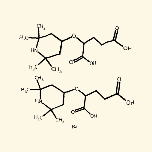 CC1(C)CC(OC(CCC(=O)O)C(=O)O)CC(C)(C)N1.CC1(C)CC(OC(CCC(=O)O)C(=O)O)CC(C)(C)N1.[Ba]